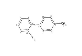 Cc1[c]cc(-c2ccccc2F)cc1